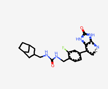 O=C(NCc1ccc(-c2ccnc3[nH]c(=O)[nH]c23)cc1F)NCC1CC2CCC(C2)C1